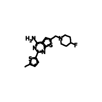 Cc1ccc(-c2nc(N)c3cc(CN4CCC(F)CC4)sc3n2)s1